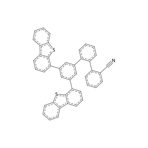 N#Cc1ccccc1-c1ccccc1-c1cc(-c2cccc3c2sc2ccccc23)cc(-c2cccc3c2sc2ccccc23)c1